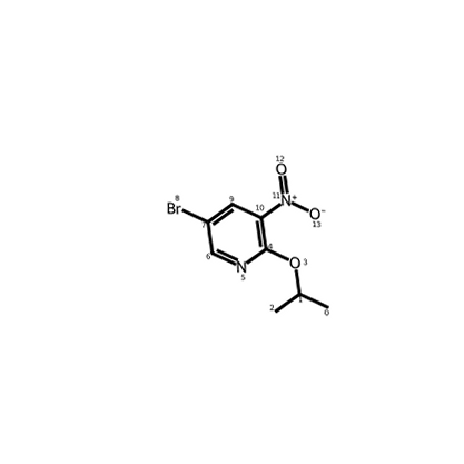 CC(C)Oc1ncc(Br)cc1[N+](=O)[O-]